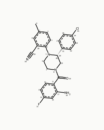 Cc1ccc(N2CCN(C(=O)c3ccc(F)cc3N)C[C@H]2c2ccc(Cl)cc2)c(C#N)c1